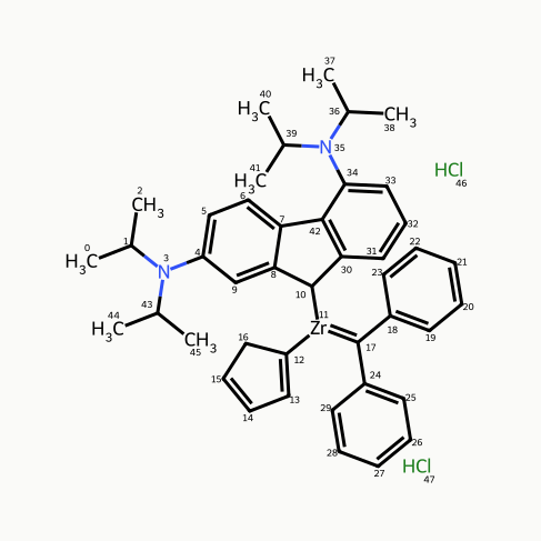 CC(C)N(c1ccc2c(c1)[CH]([Zr]([C]1=CC=CC1)=[C](c1ccccc1)c1ccccc1)c1cccc(N(C(C)C)C(C)C)c1-2)C(C)C.Cl.Cl